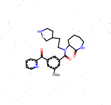 COc1cc(C(=O)c2ccccn2)cc(C(=O)N(CCC2CCNCC2)C2CCCCNC2=O)c1